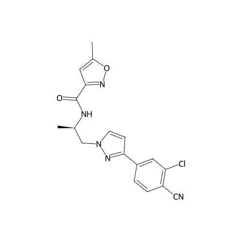 Cc1cc(C(=O)N[C@H](C)Cn2ccc(-c3ccc(C#N)c(Cl)c3)n2)no1